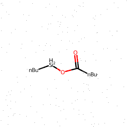 CCC[CH]C(=O)O[SiH2]CCCC